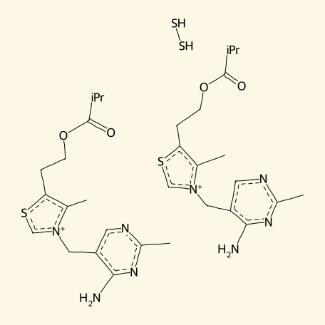 Cc1ncc(C[n+]2csc(CCOC(=O)C(C)C)c2C)c(N)n1.Cc1ncc(C[n+]2csc(CCOC(=O)C(C)C)c2C)c(N)n1.SS